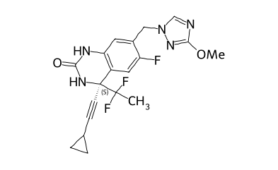 COc1ncn(Cc2cc3c(cc2F)[C@@](C#CC2CC2)(C(C)(F)F)NC(=O)N3)n1